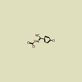 N#CC(=NOC(=O)Cl)c1ccc(Cl)cc1